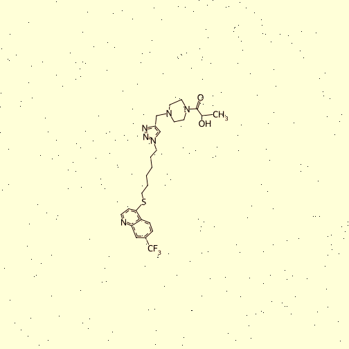 CC(O)C(=O)N1CCN(Cc2cn(CCCCCCSc3ccnc4cc(C(F)(F)F)ccc34)nn2)CC1